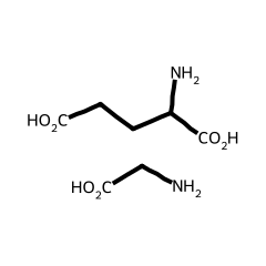 NC(CCC(=O)O)C(=O)O.NCC(=O)O